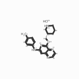 Cc1ccc(Nc2cc3nccnc3c(OC[C@H]3CCCNC3)n2)cc1.Cl